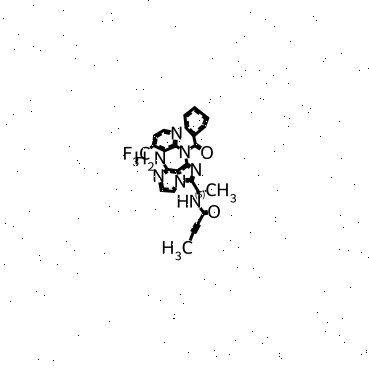 CC#CC(=O)N[C@@H](C)c1nc(N(C(=O)c2ccccc2)c2cc(C(F)(F)F)ccn2)c2c(N)nccn12